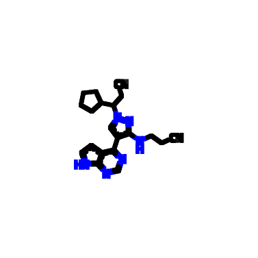 N#CCCNc1nn(C(CC#N)C2CCCC2)cc1-c1ncnc2[nH]ccc12